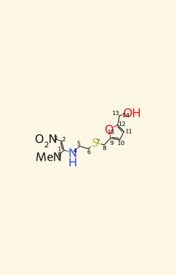 CNC(=C[N+](=O)[O-])NCCSCc1ccc(CO)o1